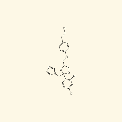 ClCCc1ccc(OCC2COC(Cn3ccnc3)(c3ccc(Cl)cc3Cl)O2)cc1